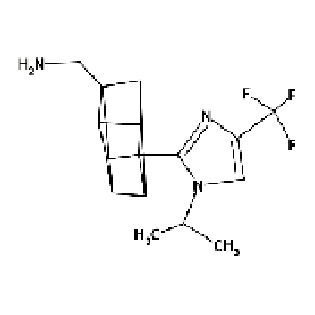 CC(C)n1cc(C(F)(F)F)nc1C12C3C4C1C1C2C3C41CN